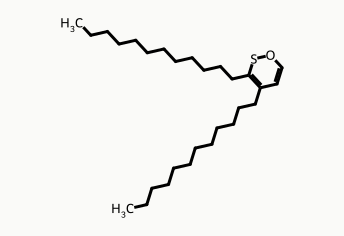 CCCCCCCCCCCCC1=C(CCCCCCCCCCCC)SOC=C1